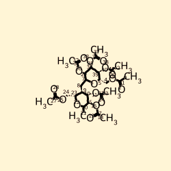 CC(=O)OC[C@@H]1OC(C[C@H]2[C@H](OC(C)=O)[C@@H](OC(C)=O)C(C)O[C@@H]2COC(C)=O)[C@@H](OC(C)=O)[C@H](OC(C)=O)[C@@H]1OC(C)=O